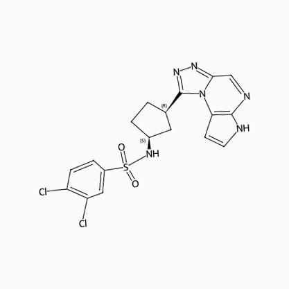 O=S(=O)(N[C@H]1CC[C@@H](c2nnc3cnc4[nH]ccc4n23)C1)c1ccc(Cl)c(Cl)c1